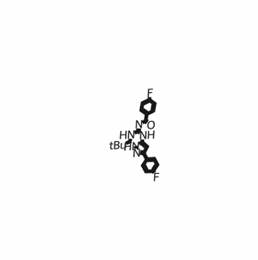 CC(C)(C)CN/C(=N/C(=O)c1ccc(F)cc1)Nc1cc(-c2ccc(F)cc2)n[nH]1